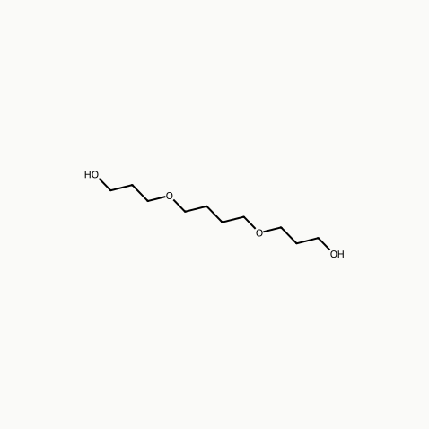 OCCCOCCCCOCCCO